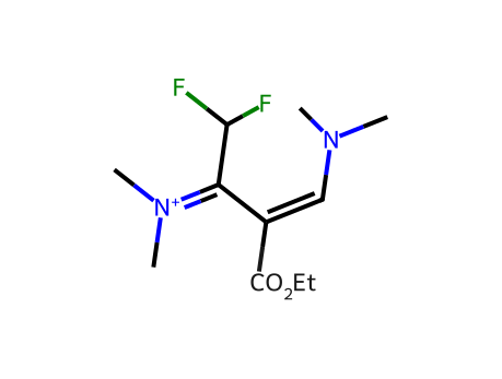 CCOC(=O)/C(=C/N(C)C)C(C(F)F)=[N+](C)C